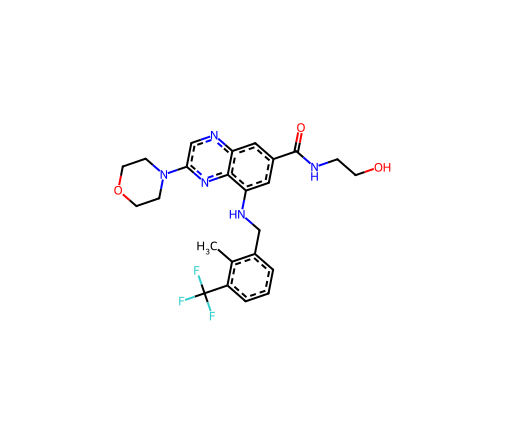 Cc1c(CNc2cc(C(=O)NCCO)cc3ncc(N4CCOCC4)nc23)cccc1C(F)(F)F